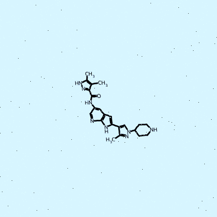 Cc1nn(C2CCNCC2)cc1-c1cc2cc(NC(=O)c3n[nH]c(C)c3C)cnc2[nH]1